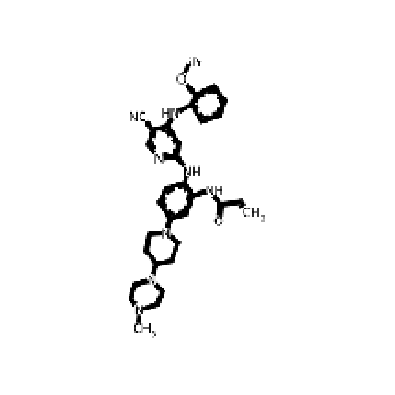 C=CC(=O)Nc1cc(N2CCC(N3CCN(C)CC3)CC2)ccc1Nc1cc(Nc2ccccc2OC(C)C)c(C#N)cn1